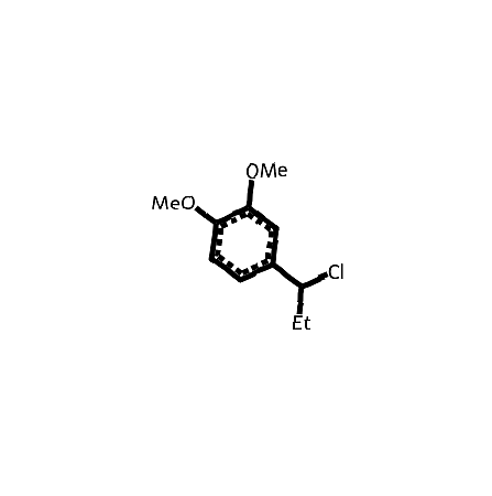 CCC(Cl)c1ccc(OC)c(OC)c1